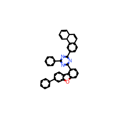 C1=CC2C=Cc3ccc(-c4nc(-c5ccccc5)nc(-c5cccc6oc7cc(-c8ccccc8)ccc7c56)n4)cc3C2C=C1